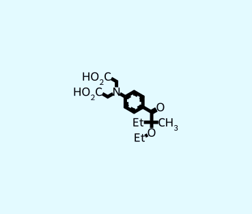 CCOC(C)(CC)C(=O)c1ccc(N(CC(=O)O)CC(=O)O)cc1